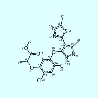 COC(=O)[C@H](C)Oc1cc(Oc2c(-c3nnc(C)s3)c(C)nn2C)c(Cl)cc1Cl